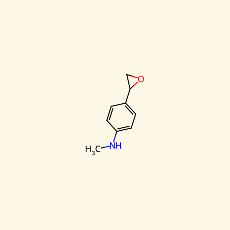 CNc1ccc(C2CO2)cc1